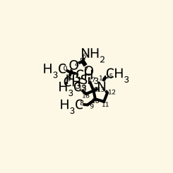 CC(C)(C)OC(N)=O.CCC1CCN(CC)C1([SiH3])CC